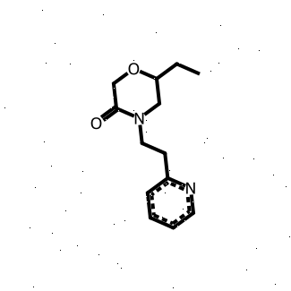 CCC1CN(CCc2ccccn2)C(=O)CO1